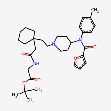 Cc1ccc(N(C(=O)c2ccco2)C2CCN(CCC3(CC(=O)NCC(=O)OC(C)(C)C)CCCCC3)CC2)cc1